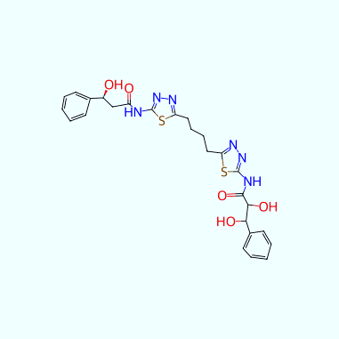 O=C(C[C@H](O)c1ccccc1)Nc1nnc(CCCCc2nnc(NC(=O)C(O)C(O)c3ccccc3)s2)s1